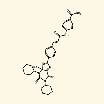 CC12N=C(c3ccc(/C=C/C(=O)Nc4ccc(C(N)=O)cc4)cc3)N=C1C(=O)N(C1CCCCC1)C(=O)N2C1CCCCC1